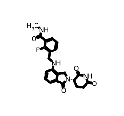 CNC(=O)c1cccc(CNc2cccc3c2CN([C@H]2CCC(=O)NC2=O)C3=O)c1F